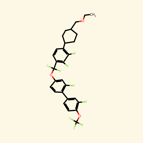 CCOCC1CCC(c2ccc(C(F)(F)Oc3ccc(-c4ccc(OC(F)(F)F)c(F)c4)c(F)c3)c(F)c2F)CC1